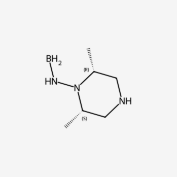 BNN1[C@H](C)CNC[C@@H]1C